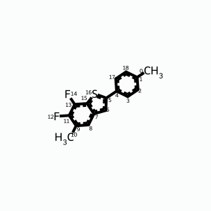 Cc1ccc(-c2cc3cc(C)c(F)c(F)c3s2)cc1